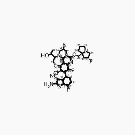 CC(O)C1COc2c(Cl)c(-c3ccc(F)c4sc(N)c(C#N)c34)c(F)c3nc(OC[C@@]45CCCN4C[C@H](F)C5)nc(c23)N1CC(F)F